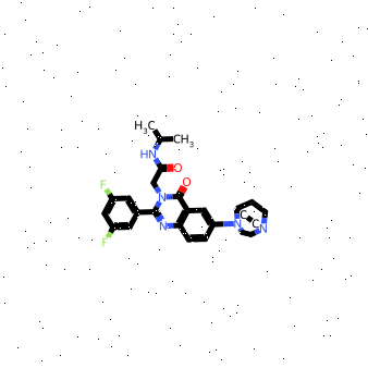 CC(C)NC(=O)Cn1c(-c2cc(F)cc(F)c2)nc2ccc(N3CCN4CCC3CC4)cc2c1=O